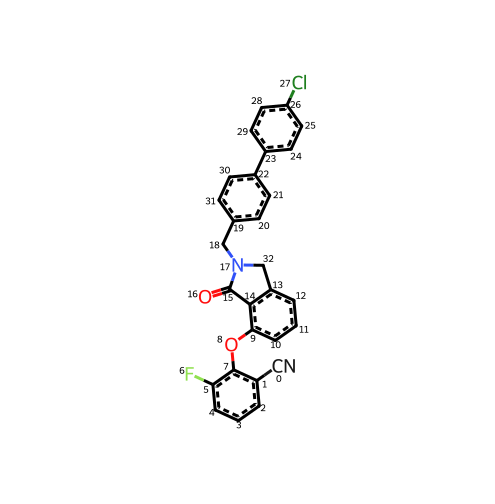 N#Cc1cccc(F)c1Oc1cccc2c1C(=O)N(Cc1ccc(-c3ccc(Cl)cc3)cc1)C2